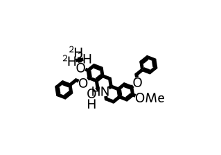 [2H]C([2H])([2H])Oc1ccc(CC2NCCc3cc(OC)c(OCc4ccccc4)cc32)c(CO)c1OCc1ccccc1